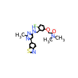 Cc1nc(NCc2cc(OCC(=O)N(C)C)ccc2F)cc(-c2ccc3ncsc3c2)n1